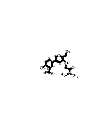 CN(C)C(=O)CNc1cc(-c2ccc(Cl)c(C(F)F)c2)cnc1C=N